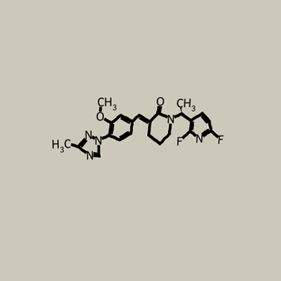 COc1cc(C=C2CCCN([C@H](C)c3ccc(F)nc3F)C2=O)ccc1-n1cnc(C)n1